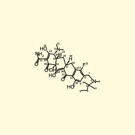 CCC(C)(C)N(C)Cc1cc(O)c2c(c1F)C[C@H]1C[C@H]3[C@H](N(C)C)C(O)=C(C(N)=O)C(=O)[C@@]3(O)C(O)=C1C2=O